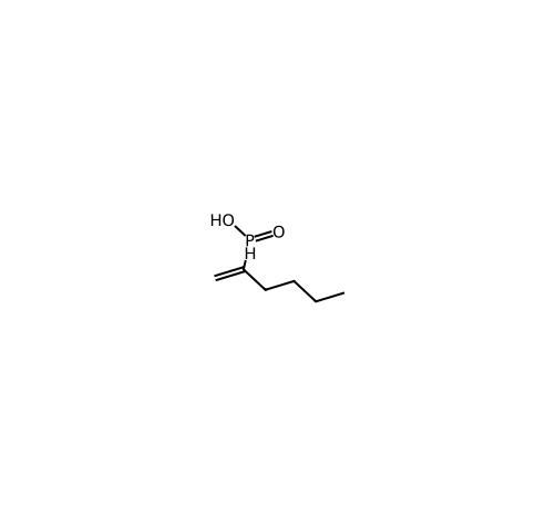 C=C(CCCC)[PH](=O)O